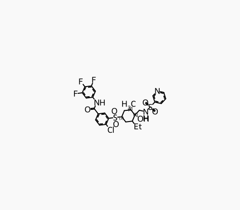 CCC1C[C@@H](S(=O)(=O)c2cc(C(=O)Nc3cc(F)c(F)c(F)c3)ccc2Cl)C[C@H](C)[C@@]1(O)CNS(=O)(=O)c1cccnc1